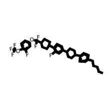 CCCCCc1ccc(C2CCC(c3ccc(C4CCC(C(F)(F)Oc5ccc(OC(F)(F)F)c(F)c5)CC4)c(F)c3)CC2)cc1